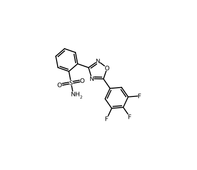 NS(=O)(=O)c1ccccc1-c1noc(-c2cc(F)c(F)c(F)c2)n1